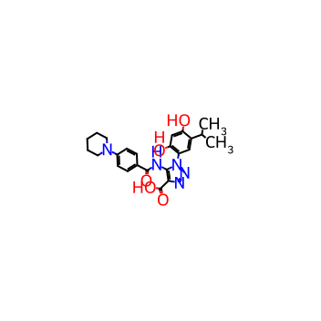 CC(C)c1cc(-n2nnc(C(=O)O)c2NC(=O)c2ccc(N3CCCCC3)cc2)c(O)cc1O